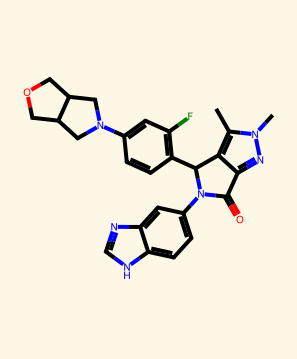 Cc1c2c(nn1C)C(=O)N(c1ccc3[nH]cnc3c1)C2c1ccc(N2CC3COCC3C2)cc1F